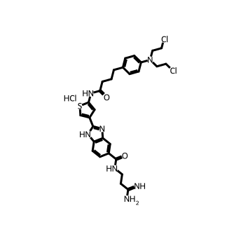 Cl.N=C(N)CCNC(=O)c1ccc2[nH]c(-c3csc(NC(=O)CCCc4ccc(N(CCCl)CCCl)cc4)c3)nc2c1